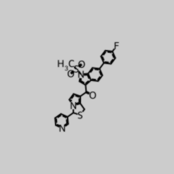 CS(=O)(=O)n1cc(C(=O)c2ccn3c2CSC3c2cccnc2)c2ccc(-c3ccc(F)cc3)cc21